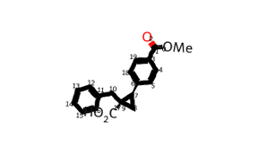 COC(=O)c1ccc([C@H]2C[C@@]2(Cc2ccccc2)C(=O)O)cc1